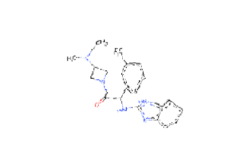 CN(C)C1CN(C(=O)C(Nc2nc3ccccc3[nH]2)c2cccc(C(F)(F)F)c2)C1